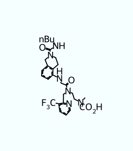 CCCCNC(=O)N1CCc2c(cccc2NCC(=O)N(CCN(C)C(=O)O)Cc2ncccc2C(F)(F)F)C1